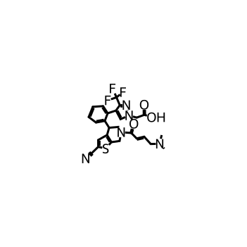 CN(C)C/C=C/C(=O)N1Cc2sc(C#N)cc2C(c2ccccc2-c2cn(CC(=O)O)nc2C(F)(F)F)C1